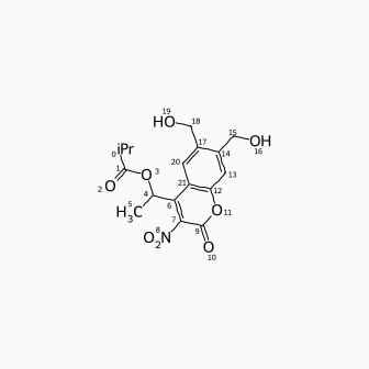 CC(C)C(=O)OC(C)c1c([N+](=O)[O-])c(=O)oc2cc(CO)c(CO)cc12